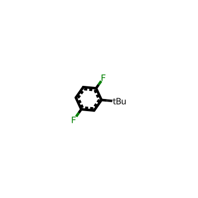 CC(C)(C)c1cc(F)ccc1F